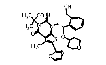 Cc1c(-c2ncco2)sc2c1c(=O)n(C(C)(C)C(=O)O)c(=O)n2C[C@@H](OC1CCOCC1)c1ccccc1CC#N